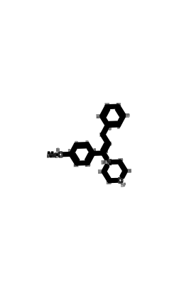 COc1ccc(/C(=C\Cc2ccccc2)N2CCOCC2)cc1